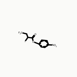 O=C(Oc1ccc([N+](=O)[O-])cc1)C(I)CC(F)(F)F